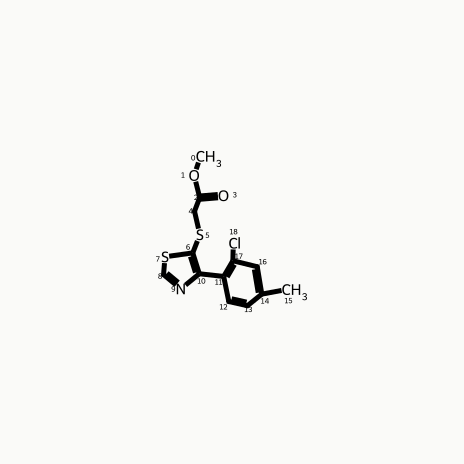 COC(=O)CSc1scnc1-c1ccc(C)cc1Cl